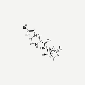 O=C(N[C@@H]1C[C@H]2CC[C@@H]1N2)c1cn2cc(Br)cc2cn1